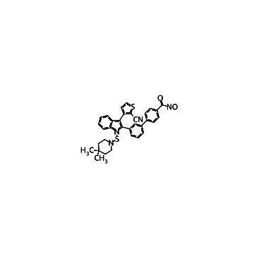 CC1(C)CCN(Sn2c(-c3cccc(-c4ccc(C(=O)N=O)cc4)c3)c(-c3ccsc3C#N)c3ccccc32)CC1